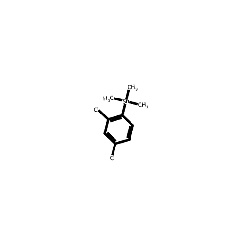 [CH3][Sn]([CH3])([CH3])[c]1ccc(Cl)cc1Cl